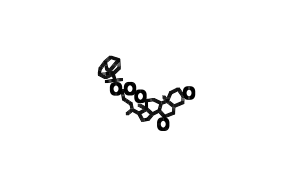 CC(CCC(=O)OC(C)(C)C12CC3CC(CC(C3)C1)C2)C1CCC2C3C(=O)CC4CC(=O)CCC4(C)C3CC(=O)C12C